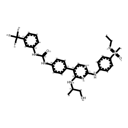 CCN=S(C)(=O)c1ccc(Nc2ncc(-c3ccc(NC(=O)Nc4cccc(C(F)(F)F)c4)cc3)c(NC(C)CO)n2)cc1